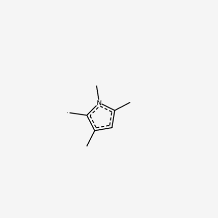 [CH2]c1c(C)cc(C)n1C